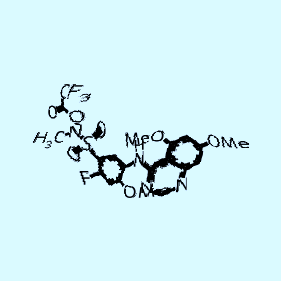 COc1cc(OC)c2c(Nc3cc(S(=O)(=O)N(C)OC(=O)C(F)(F)F)c(F)cc3OC)ncnc2c1